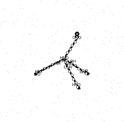 CC(C)(C)OC(=O)NOCCOCCOCCNC(O)CCOCC(COCCCNCCOCCOCCOCCONC(=O)OC(C)(C)C)(COCCC(=O)NCCOCCOCCOCCONC(=O)OC(C)(C)C)NC(=O)CCOCCOCCOCCOCCN1C(=O)C2C=CC=CC2C1=O